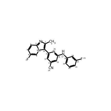 Cc1nc2ccc(F)cn2c1-c1cc(C#N)cc(Nc2cccc(F)c2)n1